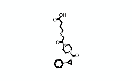 O=C(O)CCCSCC(=O)N1CCN(C(=O)[C@@H]2C[C@H]2c2ccccc2)CC1